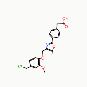 COc1cc(CCl)ccc1OCc1nc(-c2ccc(CC(=O)O)cc2)oc1C